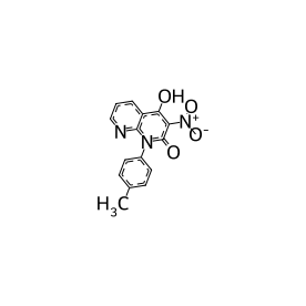 Cc1ccc(-n2c(=O)c([N+](=O)[O-])c(O)c3cccnc32)cc1